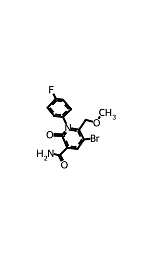 COCc1c(Br)cc(C(N)=O)c(=O)n1-c1ccc(F)cc1